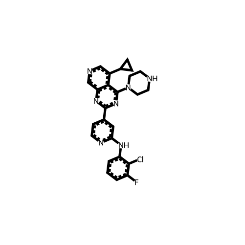 Fc1cccc(Nc2cc(-c3nc(N4CCNCC4)c4c(C5CC5)cncc4n3)ccn2)c1Cl